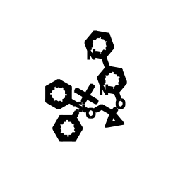 CC(C)(C)[Si](OCC1(Oc2ccc(-c3ccccn3)cn2)CC1)(c1ccccc1)c1ccccc1